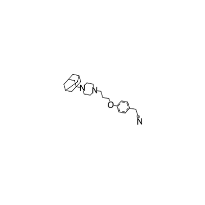 N#CCc1ccc(OCCCN2CCN(C34CC5CC(CC(C5)C3)C4)CC2)cc1